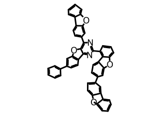 c1ccc(-c2ccc3c(c2)oc2c(-c4ccc5c(c4)oc4ccccc45)nc(-c4cccc5oc6cc(-c7ccc8oc9ccccc9c8c7)ccc6c45)nc23)cc1